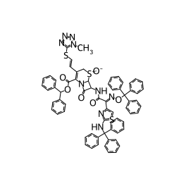 Cn1nnnc1SC=CC1=C(C(=O)OC(c2ccccc2)c2ccccc2)N2C(=O)C(NC(=O)C(=NOC(c3ccccc3)(c3ccccc3)c3ccccc3)c3csc(NC(c4ccccc4)(c4ccccc4)c4ccccc4)n3)C2[S+]([O-])C1